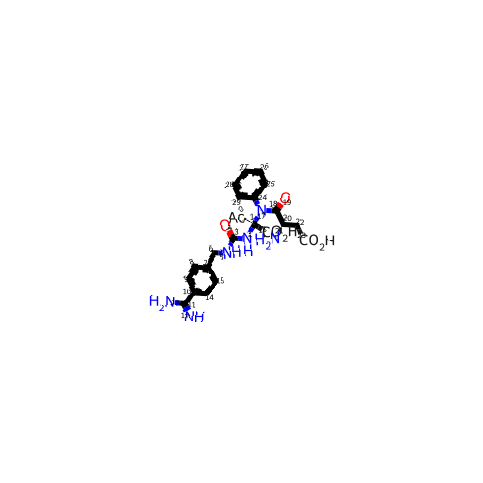 CC(=O)[C@@](NC(=O)NCc1ccc(C(=N)N)cc1)(C(=O)O)N(C(=O)[C@@H](N)CC(=O)O)c1ccccc1